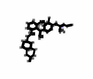 C=C/C=C(\N)Oc1ccc(C(=N)c2c(N)ncnc2NCc2ccc3c(c2)CCC(=C)C3)cc1C